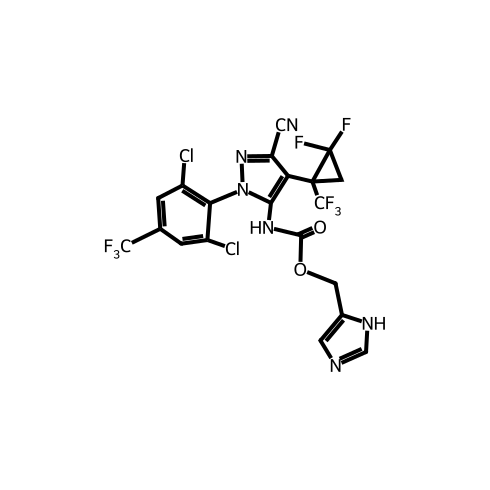 N#Cc1nn(-c2c(Cl)cc(C(F)(F)F)cc2Cl)c(NC(=O)OCc2cnc[nH]2)c1C1(C(F)(F)F)CC1(F)F